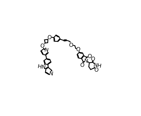 O=C1CCC(N2C(=O)c3ccc(OCCOCC#Cc4ccc(OC5CC(Oc6ccc(-c7ccc8c(c7)[nH]c7ccncc78)cn6)C5)cc4)cc3C2=O)C(=O)N1